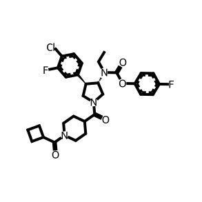 CCN(C(=O)Oc1ccc(F)cc1)[C@@H]1CN(C(=O)C2CCN(C(=O)C3CCC3)CC2)C[C@H]1c1ccc(Cl)c(F)c1